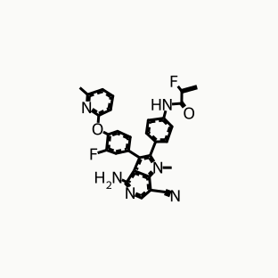 C=C(F)C(=O)Nc1ccc(-c2c(-c3ccc(Oc4cccc(C)n4)c(F)c3)c3c(N)ncc(C#N)c3n2C)cc1